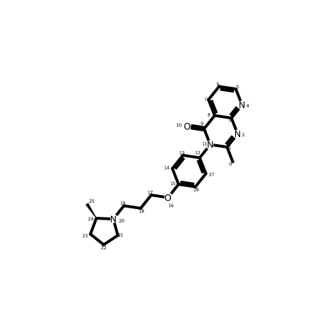 Cc1nc2ncccc2c(=O)n1-c1ccc(OCCCN2CCC[C@H]2C)cc1